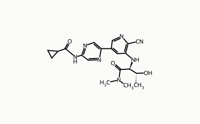 C[C@@H](O)[C@H](Nc1cc(-c2cnc(NC(=O)C3CC3)cn2)cnc1C#N)C(=O)N(C)C